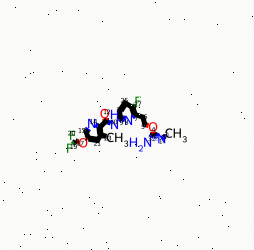 C/N=C(/N)OCCc1nc(NC(=O)c2ncc(OC(F)F)cc2C)ccc1F